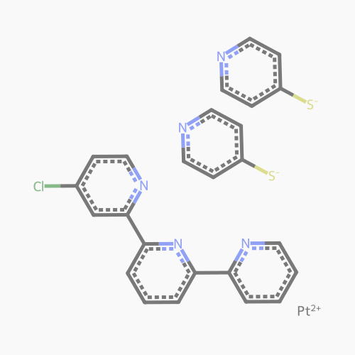 Clc1ccnc(-c2cccc(-c3ccccn3)n2)c1.[Pt+2].[S-]c1ccncc1.[S-]c1ccncc1